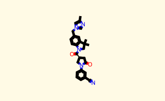 Cc1cn(Cc2ccc3c(c2)C(C)(C)CN3C(=O)[C@H]2CC(=O)N(c3cccc(C#N)c3)C2)cn1